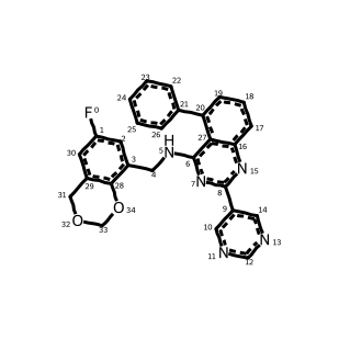 Fc1cc(CNc2nc(-c3cncnc3)nc3cccc(-c4ccccc4)c23)c2c(c1)COCO2